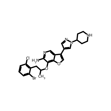 CC(Cc1c(Cl)cccc1Br)Oc1c(N)ncc2c(-c3cnn(C4CCNCC4)c3)coc12